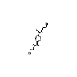 O=C(OCCBr)c1ccc(C(=O)OCCBr)cc1